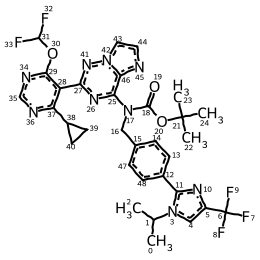 CC(C)n1cc(C(F)(F)F)nc1-c1ccc(CN(C(=O)OC(C)(C)C)c2nc(-c3c(OC(F)F)ncnc3C3CC3)nn3ccnc23)cc1